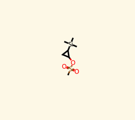 C[Si](C)(C)C1CC1OS(C)(=O)=O